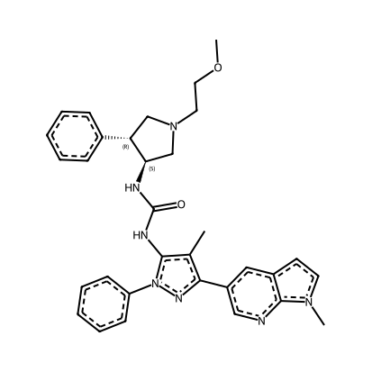 COCCN1C[C@@H](NC(=O)Nc2c(C)c(-c3cnc4c(ccn4C)c3)nn2-c2ccccc2)[C@H](c2ccccc2)C1